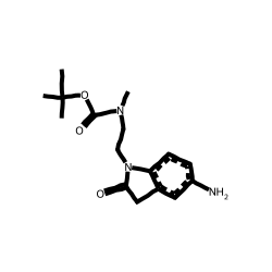 CN(CCN1C(=O)Cc2cc(N)ccc21)C(=O)OC(C)(C)C